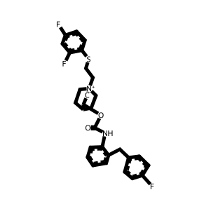 O=C(Nc1ccccc1Cc1ccc(F)cc1)OC1C[N+]2(CCSc3ccc(F)cc3F)CCC1CC2